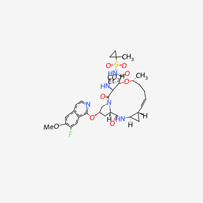 CC[C@]1(C(=O)NS(=O)(=O)C2(C)CC2)O[C@H](C)CC/C=C\[C@@H]2C[C@H]2NC(=O)[C@@H]2C[C@@H](Oc3nccc4cc(OC)c(F)cc34)CN2C(=O)[C@H]1NC(=O)O